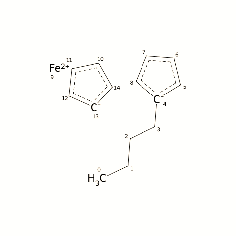 CCCC[c-]1cccc1.[Fe+2].c1cc[cH-]c1